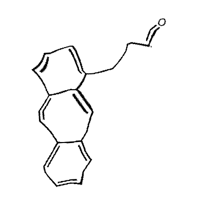 O=[C]CCc1cccc2cc3ccccc3cc12